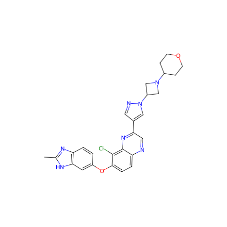 Cc1nc2ccc(Oc3ccc4ncc(-c5cnn(C6CN(C7CCOCC7)C6)c5)nc4c3Cl)cc2[nH]1